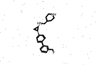 FCc1cccc(-c2ccc([C@H]3C[C@@H]3NCC3CCNCC3)cc2)c1